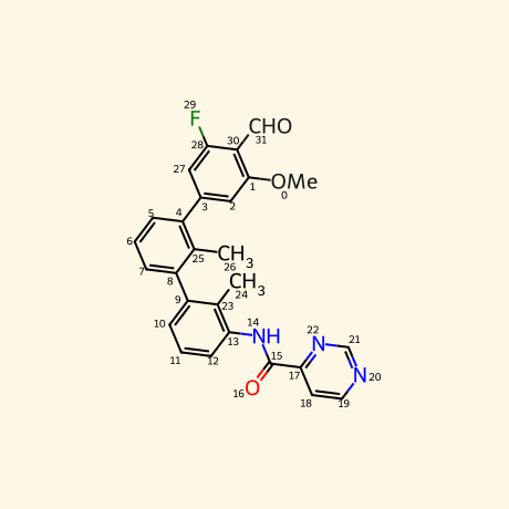 COc1cc(-c2cccc(-c3cccc(NC(=O)c4ccncn4)c3C)c2C)cc(F)c1C=O